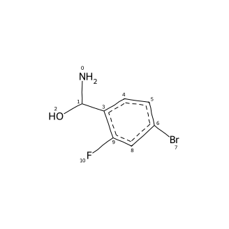 NC(O)c1ccc(Br)cc1F